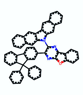 c1ccc(C2(c3ccccc3)c3ccccc3-c3ccc(-c4nc5oc6ccccc6c5nc4-n4c5cc6ccccc6cc5c5cc6ccccc6cc54)cc32)cc1